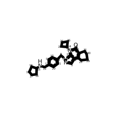 O=c1c2c(c3cnn(Cc4ccc(CNC5CCCC5)cc4)c3n1C1CCC1)CCCC2